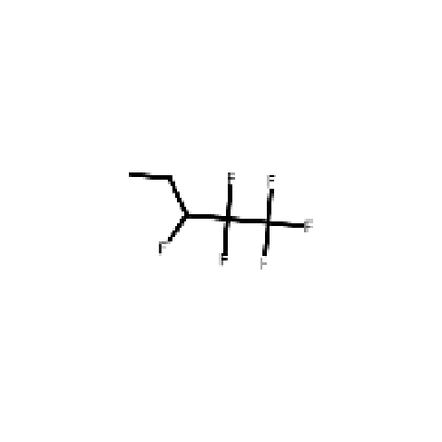 CCC(F)C(F)(F)C(F)(F)F